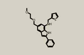 COCCOCc1cc(NCc2cccs2)c2[nH]c(-c3ccccc3)cc2c1